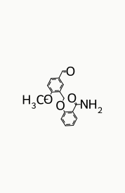 COc1ccc(C=O)cc1COc1ccccc1C(N)=O